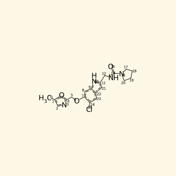 Cc1cnc(COc2cc3[nH]c(CNC(=O)N4CCCC4)cc3cc2Cl)o1